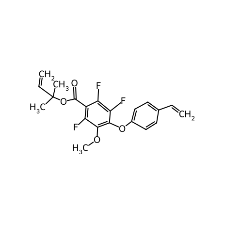 C=Cc1ccc(Oc2c(F)c(F)c(C(=O)OC(C)(C)C=C)c(F)c2OC)cc1